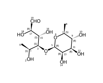 C[C@H](O)[C@H](O[C@H]1O[C@@H](C)[C@H](O)[C@@H](O)[C@H]1O)[C@@H](O)[C@@H](O)C=O